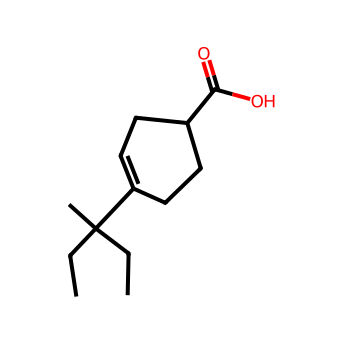 CCC(C)(CC)C1=CCC(C(=O)O)CC1